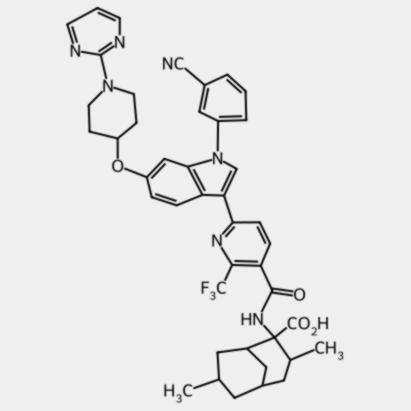 CC1CC2CC(C)C(NC(=O)c3ccc(-c4cn(-c5cccc(C#N)c5)c5cc(OC6CCN(c7ncccn7)CC6)ccc45)nc3C(F)(F)F)(C(=O)O)C(C1)C2